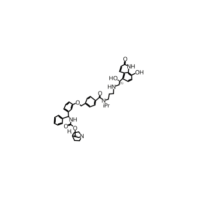 CC(C)N(CCCNC[C@@H](O)c1ccc(O)c2[nH]c(=O)ccc12)C(=O)c1ccc(COc2cccc(C(NC(=O)O[C@H]3CN4CCC3CC4)c3ccccc3)c2)cc1